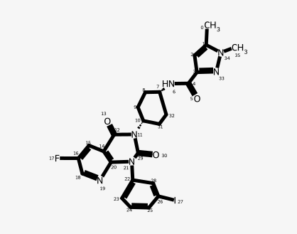 Cc1cc(C(=O)N[C@H]2CC[C@@H](n3c(=O)c4cc(F)cnc4n(-c4cccc(I)c4)c3=O)CC2)nn1C